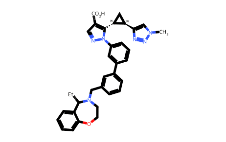 CCC1c2ccccc2OCCN1Cc1cccc(-c2cccc(-n3ncc(C(=O)O)c3[C@@H]3C[C@H]3c3cn(C)nn3)c2)c1